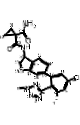 Cn1nnc(-c2c(F)cc(Cl)cc2-c2ccc3c(c2)SCC3NC(=O)C2(C(N)=O)CC2)n1